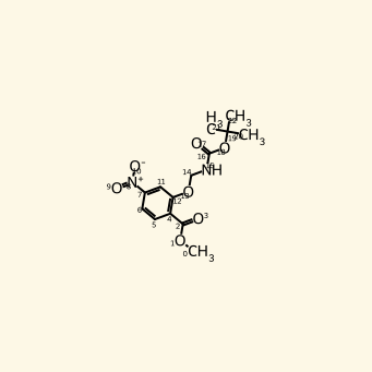 COC(=O)c1ccc([N+](=O)[O-])cc1OCNC(=O)OC(C)(C)C